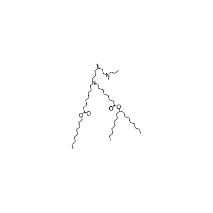 C=C(CCCN(CCCCCCCC(=O)OCCCCCCCCC)CCCCCCCC(=O)OC(CCCCCCCC)CCCCCCCC)CCN(C)CCC